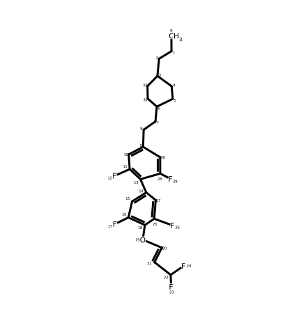 CCCC1CCC(CCc2cc(F)c(-c3cc(F)c(O/C=C/C(F)F)c(F)c3)c(F)c2)CC1